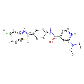 CCN(CC)c1cc(C(=O)NC2CCC(c3nc4cc(Cl)ccc4s3)CC2)ccn1